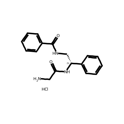 Cl.NCC(=O)N[C@H](CNC(=O)c1ccccc1)c1ccccc1